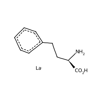 N[C@H](CCc1ccccc1)C(=O)O.[La]